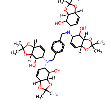 CC1(C)O[C@H]2[C@H](O)[C@@H](N(Cc3ccc(CN([C@H]4C=C[C@H]5OC(C)(C)O[C@H]5[C@@H]4O)[C@H]4C=C[C@H]5OC(C)(C)O[C@H]5[C@@H]4O)cc3)[C@H]3C=C[C@H]4OC(C)(C)O[C@H]4[C@@H]3O)C=C[C@H]2O1